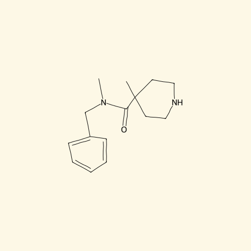 CN(Cc1ccccc1)C(=O)C1(C)CCNCC1